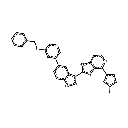 Fc1ccc(-c2nccc3[nH]c(-c4n[nH]c5ccc(-c6cncc(OCc7ccccc7)c6)cc45)nc23)s1